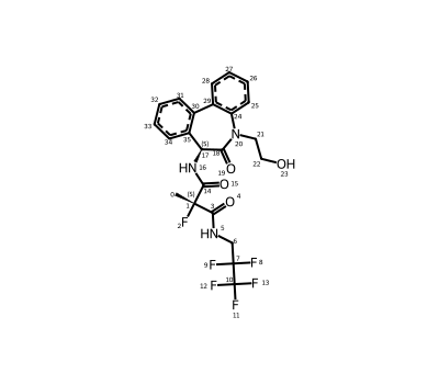 C[C@](F)(C(=O)NCC(F)(F)C(F)(F)F)C(=O)N[C@@H]1C(=O)N(CCO)c2ccccc2-c2ccccc21